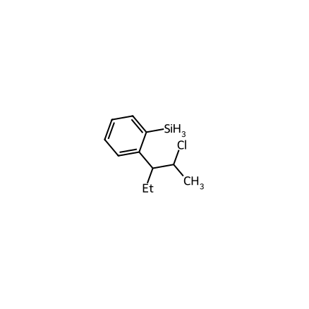 CCC(c1ccccc1[SiH3])C(C)Cl